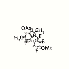 COc1c(F)ccc(C(F)n2c(C)c(OC(C)=O)c3cc(C)c(F)cc32)c1F